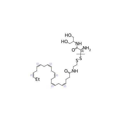 CC/C=C\C/C=C\C/C=C\C/C=C\C/C=C\C/C=C\CCC(=O)NCCSSC(C)(C)[C@H](N)C(=O)NC(CO)CO